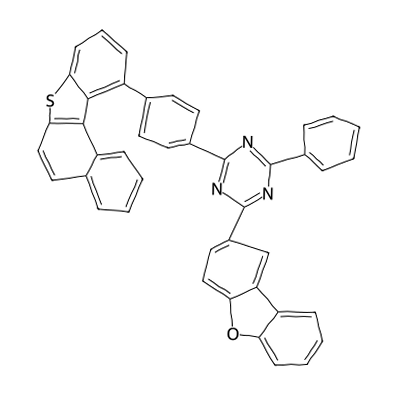 c1ccc(-c2nc(-c3ccc(-c4cccc5sc6ccc7ccccc7c6c45)cc3)nc(-c3ccc4oc5ccccc5c4c3)n2)cc1